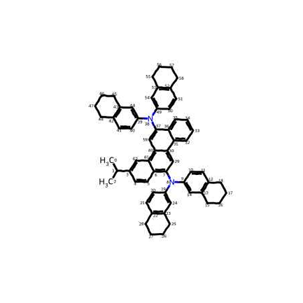 CC(C)c1ccc2c(N(c3ccc4c(c3)CCCC4)c3ccc4c(c3)CCCC4)cc3c4ccccc4c(N(c4ccc5c(c4)CCCC5)c4ccc5c(c4)CCCC5)cc3c2c1